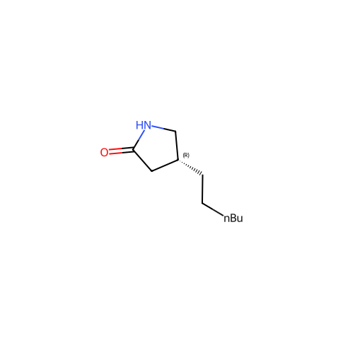 CCCCCC[C@H]1CNC(=O)C1